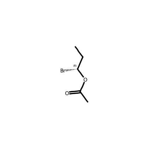 CC[C@@H](Br)OC(C)=O